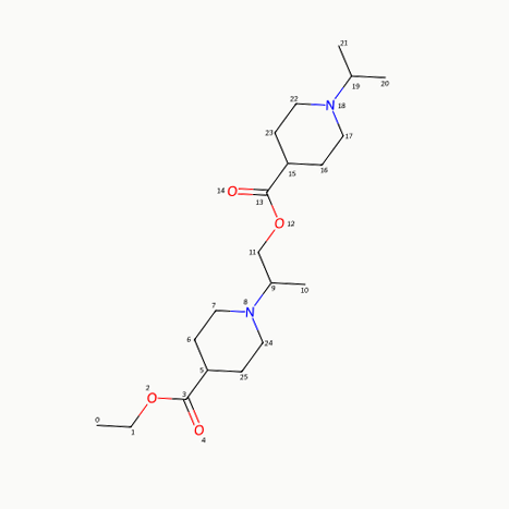 CCOC(=O)C1CCN(C(C)COC(=O)C2CCN(C(C)C)CC2)CC1